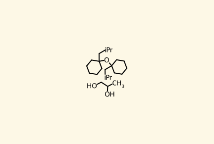 CC(C)CC1(OC2(CC(C)C)CCCCC2)CCCCC1.CC(O)CO